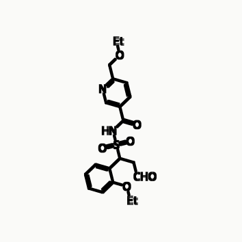 CCOCc1ccc(C(=O)NS(=O)(=O)C(CC=O)c2ccccc2OCC)cn1